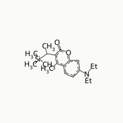 CCN(CC)c1ccc2c(C)c(C(C)[Si](C)(C)C)c(=O)oc2c1